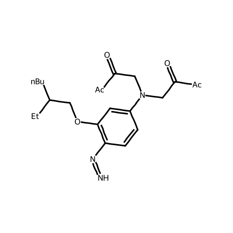 CCCCC(CC)COc1cc(N(CC(=O)C(C)=O)CC(=O)C(C)=O)ccc1N=N